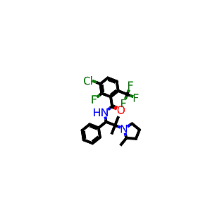 CC1CCCN1C(C)(C)C(NC(=O)c1c(C(F)(F)F)ccc(Cl)c1F)c1ccccc1